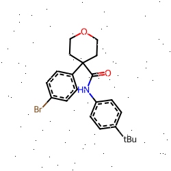 CC(C)(C)c1ccc(NC(=O)C2(c3ccc(Br)cc3)CCOCC2)cc1